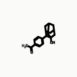 CC(=O)c1ccc(C2C3CC4CC(C3)CC2(O)C4)cc1